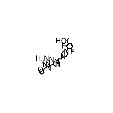 CC(O)c1ccc(F)c(N2CCN(CCn3ncc4c3nc(N)n3nc(-c5ccco5)nc43)CC2)c1F